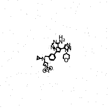 CS(=O)(=O)N1CC(N(Cc2cccc(-c3cc(-c4cnnn4C4CCOCC4)c4c(N)ncnn34)c2)C2CC2)C1